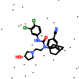 N#Cc1cccc([C@@]23CC[C@@H](N(CCN4CC[C@H](O)C4)C(=O)Nc4ccc(Cl)c(Cl)c4)CC2C3)c1